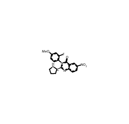 COc1ccc(-n2c([C@H]3CCCN3)nc3ccc([N+](=O)[O-])cc3c2=O)c(F)c1